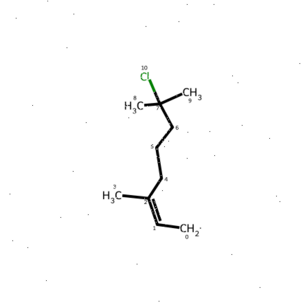 [CH2]C=C(C)CCCC(C)(C)Cl